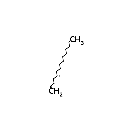 C=CCC[CH]CCCCCCCCCC